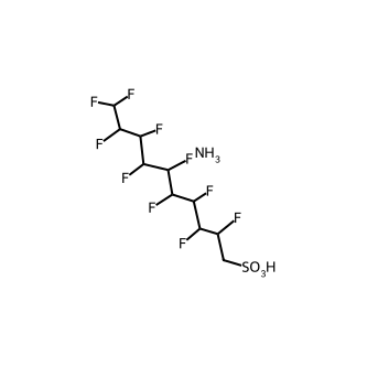 N.O=S(=O)(O)CC(F)C(F)C(F)C(F)C(F)C(F)C(F)C(F)C(F)F